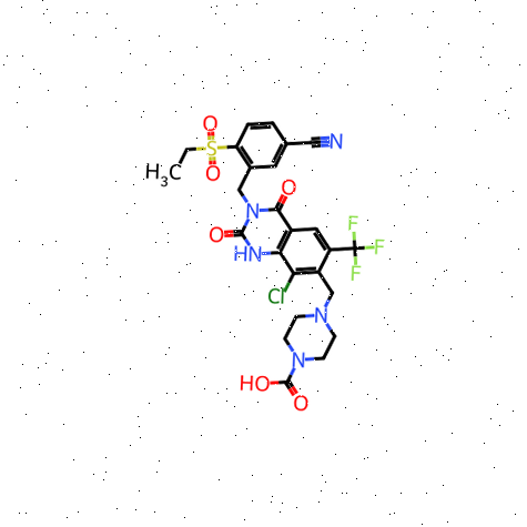 CCS(=O)(=O)c1ccc(C#N)cc1Cn1c(=O)[nH]c2c(Cl)c(CN3CCN(C(=O)O)CC3)c(C(F)(F)F)cc2c1=O